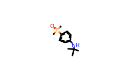 CC(C)(C)Nc1ccc(P(C)(C)=O)cc1